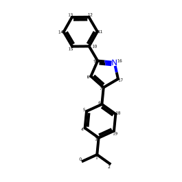 CC(C)c1ccc(C2=CC(c3ccccc3)=NC2)cc1